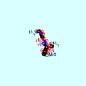 COc1cccc2c1C(=O)c1c(cc3c(c1O)C(O[C@@H]1CCC[C@@H](C)O1)C[C@@](O)(/C(CO)=N/NC(=O)COc1ccc(Cn4c(=O)oc5ccc(C)cc54)cc1O)C3)C2=O